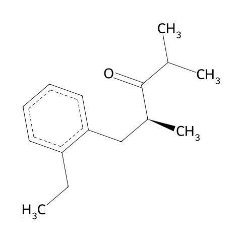 CCc1ccccc1C[C@H](C)C(=O)C(C)C